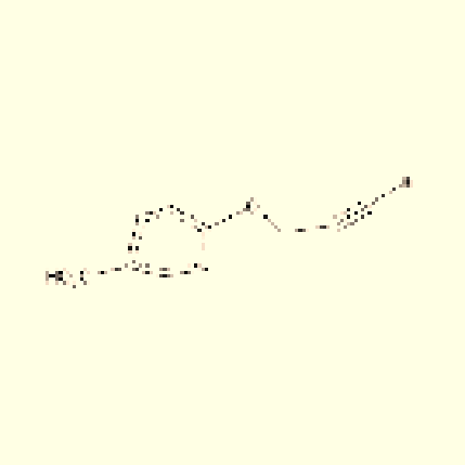 O=C(O)c1ccc(OCC#CBr)cc1